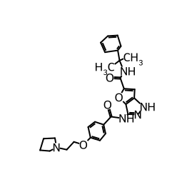 CC(C)(NC(=O)c1cc2[nH]nc(NC(=O)c3ccc(OCCN4CCCC4)cc3)c2o1)c1ccccc1